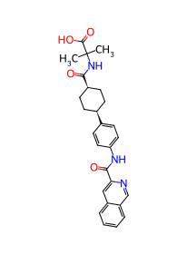 CC(C)(NC(=O)[C@H]1CC[C@@H](c2ccc(NC(=O)c3cc4ccccc4cn3)cc2)CC1)C(=O)O